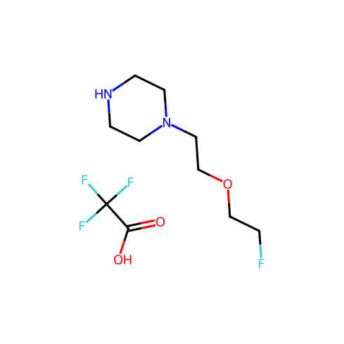 FCCOCCN1CCNCC1.O=C(O)C(F)(F)F